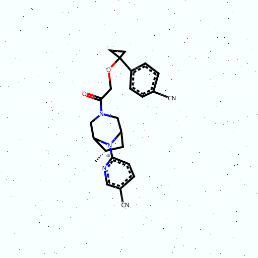 C[C@H]1CC2CN(C(=O)COC3(c4ccc(C#N)cc4)CC3)CC1N2c1ccc(C#N)cn1